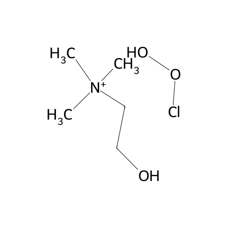 C[N+](C)(C)CCO.OOCl